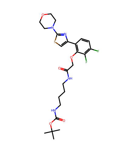 CC(C)(C)OC(=O)NCCCCNC(=O)COc1c(-c2csc(N3CCOCC3)n2)ccc(F)c1F